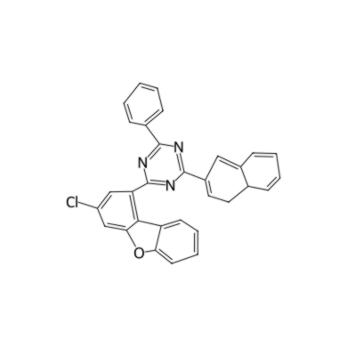 Clc1cc(-c2nc(C3=CCC4C=CC=CC4=C3)nc(-c3ccccc3)n2)c2c(c1)oc1ccccc12